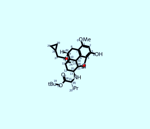 COc1cc(O)c2c3c1C[C@@H]1[C@@H]4CC[C@H](N[C@@H](C(=O)OC(C)(C)C)C(C)C)[C@H](O2)[C@]34CCN1CC1CC1